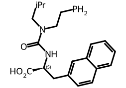 CC(C)CN(CCP)C(=O)N[C@@H](Cc1ccc2ccccc2c1)C(=O)O